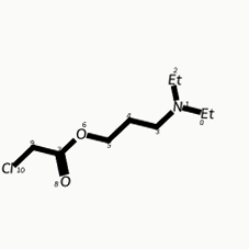 CCN(CC)CCCOC(=O)CCl